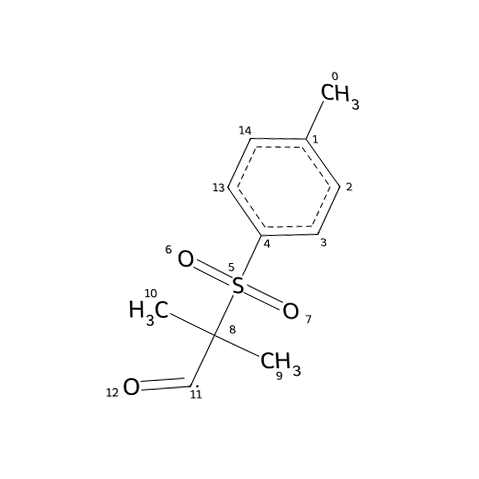 Cc1ccc(S(=O)(=O)C(C)(C)[C]=O)cc1